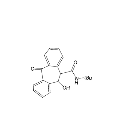 CC(C)(C)NC(=O)C1c2ccccc2C(=O)c2ccccc2C1O